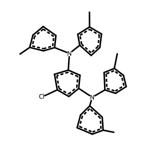 Cc1cccc(N(c2cccc(C)c2)c2cc(Cl)cc(N(c3cccc(C)c3)c3cccc(C)c3)c2)c1